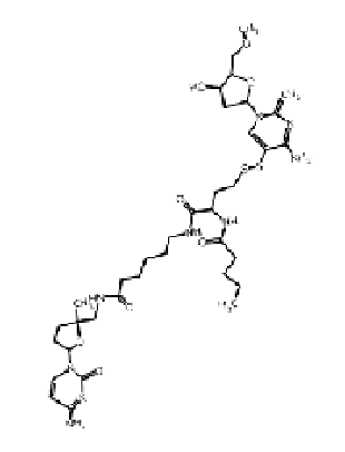 C=C1N=C(N)C(SSCCC(NC(=O)CCCC)C(=O)NCCCCCC(=O)NCC2(C)CCC(n3ccc(N)nc3=O)O2)=CN1C1CC(O)C(COC)O1